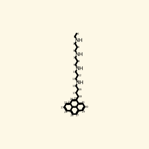 CCNCCCNCCCNCCCNCCCCC1=CC2=CC=CC3=CC=C4C=CC=C1C4C32